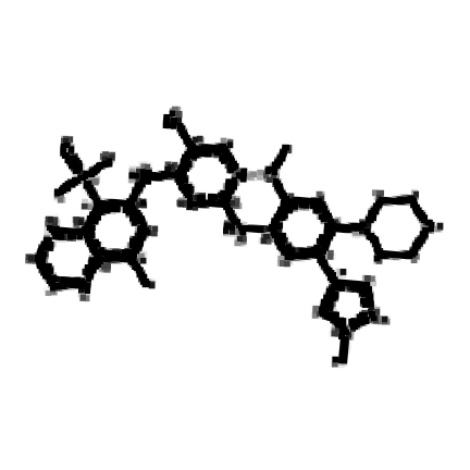 COc1cc(N2CCOCC2)c(-c2cnn(C)c2)cc1Nc1ncc(Br)c(Nc2cc(C)c3nccnc3c2P(C)(C)=O)n1